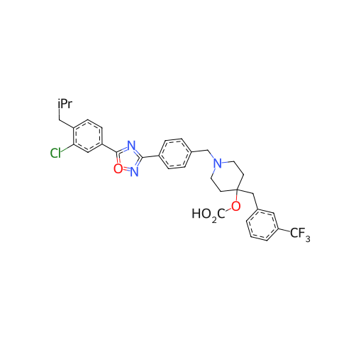 CC(C)Cc1ccc(-c2nc(-c3ccc(CN4CCC(Cc5cccc(C(F)(F)F)c5)(OC(=O)O)CC4)cc3)no2)cc1Cl